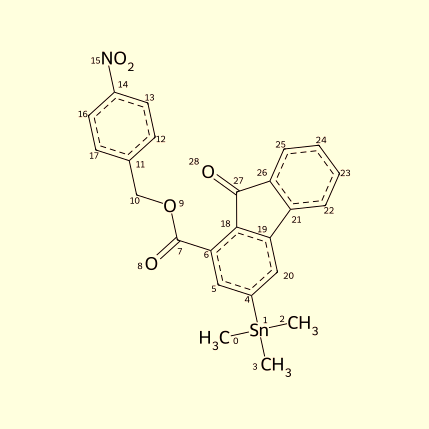 [CH3][Sn]([CH3])([CH3])[c]1cc(C(=O)OCc2ccc([N+](=O)[O-])cc2)c2c(c1)-c1ccccc1C2=O